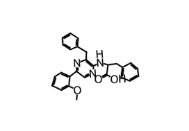 COc1ccccc1-c1cnc(NC(Cc2ccccc2)C(=O)O)c(Cc2ccccc2)n1